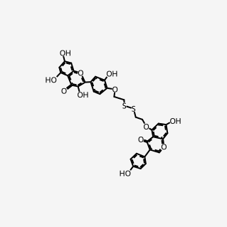 O=c1c(O)c(-c2ccc(OCCSSCCOc3cc(O)cc4occ(-c5ccc(O)cc5)c(=O)c34)c(O)c2)oc2cc(O)cc(O)c12